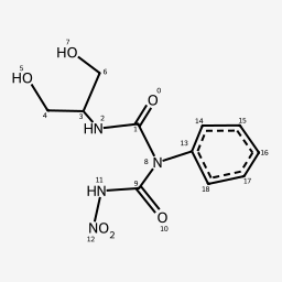 O=C(NC(CO)CO)N(C(=O)N[N+](=O)[O-])c1ccccc1